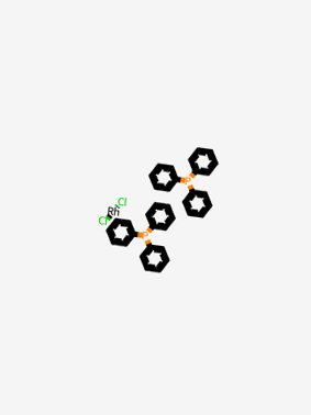 [Cl][Rh][Cl].c1ccc(P(c2ccccc2)c2ccccc2)cc1.c1ccc(P(c2ccccc2)c2ccccc2)cc1